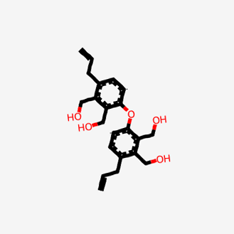 C=CCc1c[c]c(Oc2[c]cc(CC=C)c(CO)c2CO)c(CO)c1CO